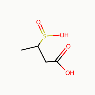 CC(CC(=O)O)S(=O)O